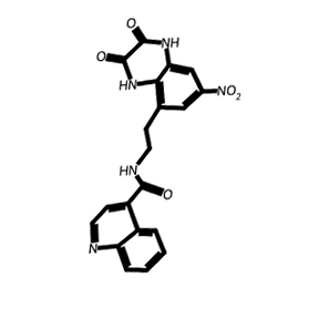 O=C(NCCc1cc([N+](=O)[O-])cc2[nH]c(=O)c(=O)[nH]c12)c1ccnc2ccccc12